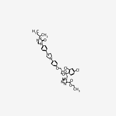 CCOC(=O)c1nnnn1C[C@@]1(c2ccc(Cl)cc2Cl)OC[C@@H](COc2ccc(N3CCN(c4ccc(-n5cnn(C(C)CC)c5=O)cc4)CC3)cc2)O1